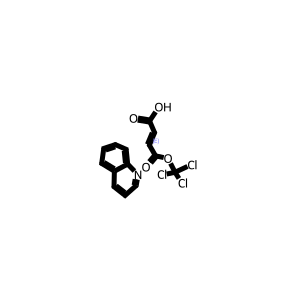 O=C(O)/C=C/C(=O)OC(Cl)(Cl)Cl.c1ccc2ncccc2c1